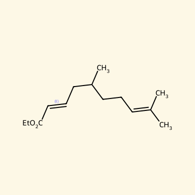 CCOC(=O)/C=C/CC(C)CCC=C(C)C